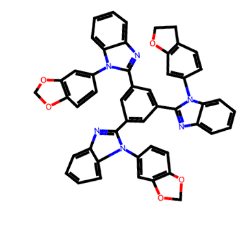 c1ccc2c(c1)nc(-c1cc(-c3nc4ccccc4n3-c3ccc4c(c3)OCO4)cc(-c3nc4ccccc4n3-c3ccc4c(c3)OCO4)c1)n2-c1ccc2c(c1)OCC2